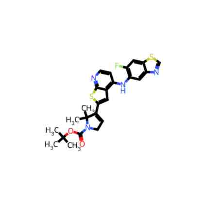 CC(C)(C)OC(=O)N1CC=C(c2cc3c(Nc4cc5ncsc5cc4F)ccnc3s2)C1(C)C